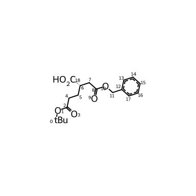 CC(C)(C)OC(=O)CC[C@@H](CC(=O)OCc1ccccc1)C(=O)O